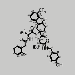 CCC(C)[C@H](NC(=O)Cc1ccccc1F)C(=O)N[C@]1(C(=O)N[C@H](C(=O)NCc2ccc(O)cc2)C(C)CC)CCc2[nH]c3c(C(F)(F)F)cccc3c2C1